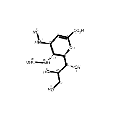 N#CN[C@H]1C=C(C(=O)O)O[C@@H]([C@H](O)[C@H](O)CO)[C@@H]1NC=O